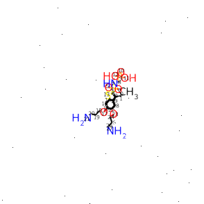 CCc1c(S(=O)(=O)NCP(=O)(O)O)sc2cc(OCCCN)c(OCCCN)cc12